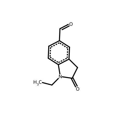 CCN1C(=O)Cc2cc(C=O)ccc21